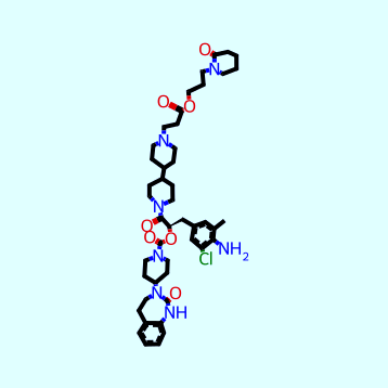 Cc1cc(C[C@@H](OC(=O)N2CCC(N3CCc4ccccc4NC3=O)CC2)C(=O)N2CCC(C3CCN(CCC(=O)OCCCN4CCCCC4=O)CC3)CC2)cc(Cl)c1N